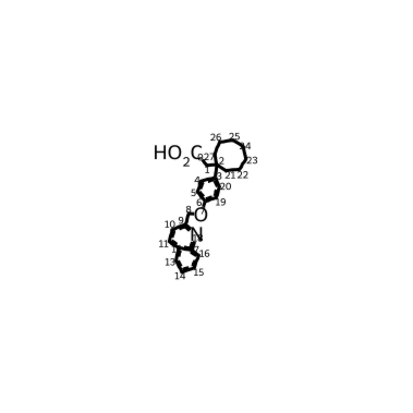 O=C(O)CC1(c2ccc(OCc3ccc4ccccc4n3)cc2)CCCCCCC1